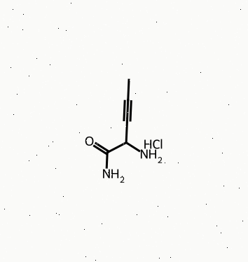 CC#CC(N)C(N)=O.Cl